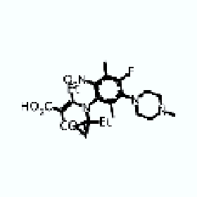 CCC(=C(C(=O)O)C(=O)O)N(c1c(C)c(N2CCN(C)CC2)c(F)c(C)c1[N+](=O)[O-])C1(CC)CC1